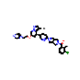 Cc1c(F)cccc1C(=O)N1CC2CN(c3ccc(-c4cc(OCCN5CC6CC5CN6)cn5ncc(C#N)c45)cn3)CC2C1